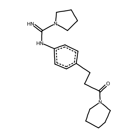 N=C(Nc1ccc(CCC(=O)N2CCCCC2)cc1)N1CCCC1